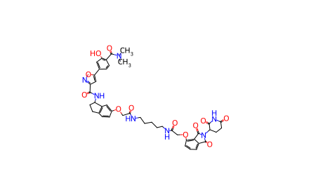 CN(C)C(=O)c1ccc(-c2cc(C(=O)NC3CCc4ccc(OCC(=O)NCCCCCNC(=O)COc5cccc6c5C(=O)N(C5CCC(=O)NC5=O)C6=O)cc43)no2)cc1O